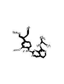 CN/C=C(\C=N)c1ccc(Nc2ncc3ccnc(NC(C)C(C)(C)C)c3n2)c(OC)c1